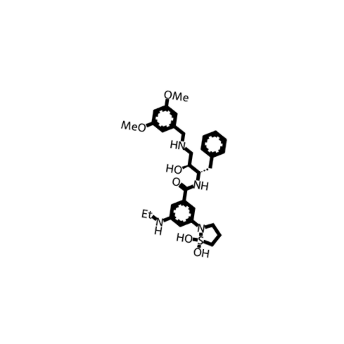 CCNc1cc(C(=O)N[C@@H](Cc2ccccc2)[C@@H](O)CNCc2cc(OC)cc(OC)c2)cc(N2CCCS2(O)O)c1